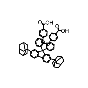 O=C(O)c1ccc(Oc2ccccc2C2(c3ccccc3Oc3ccc(C(=O)O)cc3)c3cc(C45CC6CC(CC(C6)C4)C5)ccc3-c3ccc(C45CC6CC(CC(C6)C4)C5)cc32)cc1